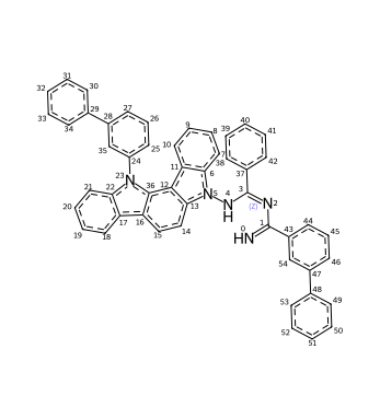 N=C(/N=C(\Nn1c2ccccc2c2c1ccc1c3ccccc3n(-c3cccc(-c4ccccc4)c3)c12)c1ccccc1)c1cccc(-c2ccccc2)c1